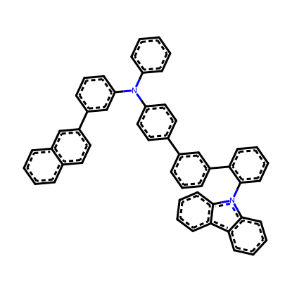 c1ccc(N(c2ccc(-c3cccc(-c4ccccc4-n4c5ccccc5c5ccccc54)c3)cc2)c2cccc(-c3ccc4ccccc4c3)c2)cc1